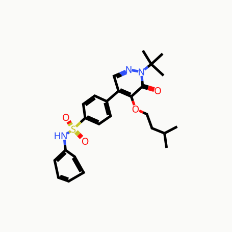 CC(C)CCOc1c(-c2ccc(S(=O)(=O)Nc3ccccc3)cc2)cnn(C(C)(C)C)c1=O